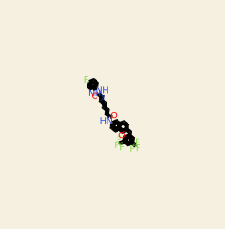 Nc1cc(F)ccc1NC(=O)CCCCCCC(=O)Nc1ccc2c(c1)CCC(Cc1cc(C(F)(F)F)cc(C(F)(F)F)c1)C2=O